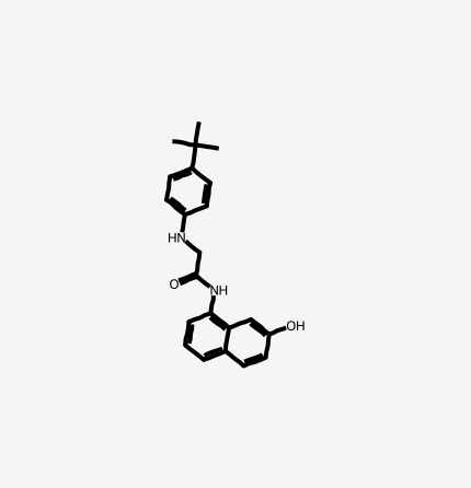 CC(C)(C)c1ccc(NCC(=O)Nc2cccc3ccc(O)cc23)cc1